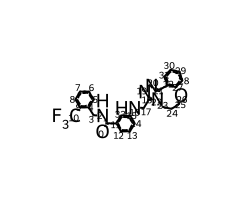 O=C(NCc1ccccc1C(F)(F)F)c1cccc(NCc2nnc3n2CCCOc2ccccc2-3)c1